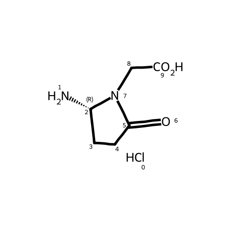 Cl.N[C@H]1CCC(=O)N1CC(=O)O